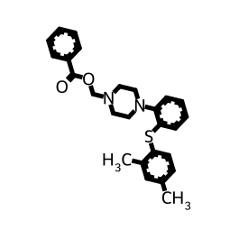 Cc1ccc(Sc2ccccc2N2CCN(COC(=O)c3ccccc3)CC2)c(C)c1